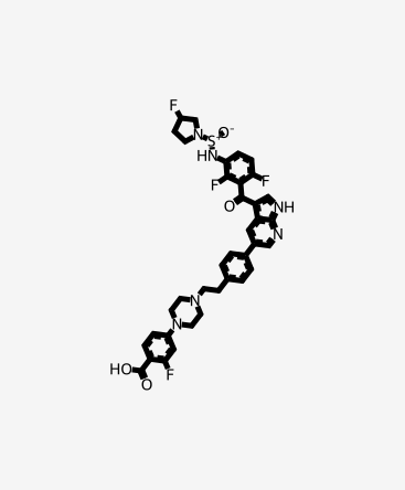 O=C(O)c1ccc(N2CCN(CCc3ccc(-c4cnc5[nH]cc(C(=O)c6c(F)ccc(N[S+]([O-])N7CCC(F)C7)c6F)c5c4)cc3)CC2)cc1F